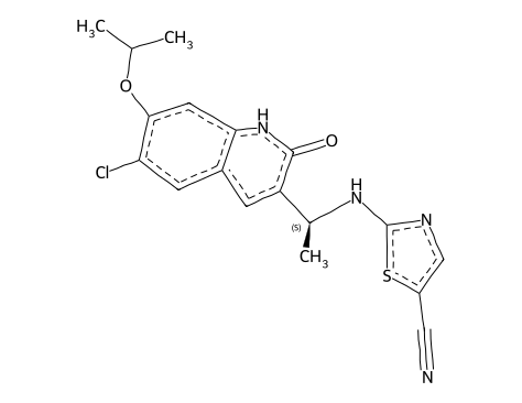 CC(C)Oc1cc2[nH]c(=O)c([C@H](C)Nc3ncc(C#N)s3)cc2cc1Cl